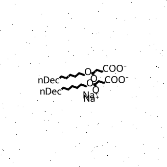 CCCCCCCCCCCCCCCCOC(=O)CCC(=O)[O-].CCCCCCCCCCCCCCCCOC(=O)CCC(=O)[O-].[Na+].[Na+]